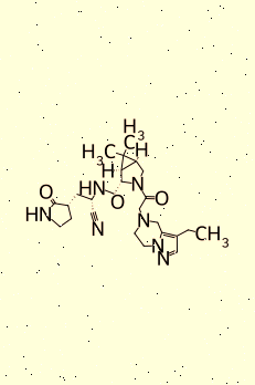 CCc1cnn2c1CN(CC(=O)N1C[C@H]3[C@@H]([C@H]1C(=O)N[C@H](C#N)C[C@@H]1CCNC1=O)C3(C)C)CC2